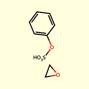 C1CO1.O=S(=O)(O)Oc1ccccc1